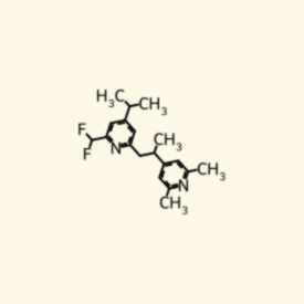 Cc1cc(C(C)Cc2cc(C(C)C)cc(C(F)F)n2)cc(C)n1